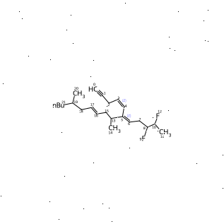 C#CC/C=C\C(=C/CC(F)C(C)F)C(C)CC=CCC(C)CCCC